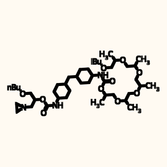 CCCCOCC(CN1CC1)OC(=O)NC1CCC(CC2CCC(NC(=O)OC(C)COC(C)COC(C)COC(C)COC(C)COC(C)CC)CC2)CC1